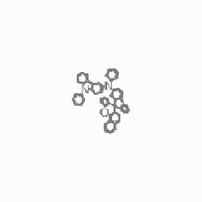 c1ccc(N(c2ccc3c(c2)C2(c4ccccc4Oc4c2ccc2ccccc42)c2ccccc2-3)c2ccc3c(c2)c2ccccc2n3-c2ccccc2)cc1